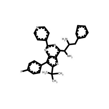 CC(C)(C)c1sc2c(C(N)C(N)Cc3ccccc3)nc(-c3ccncc3)nc2c1-c1ccc(F)cc1